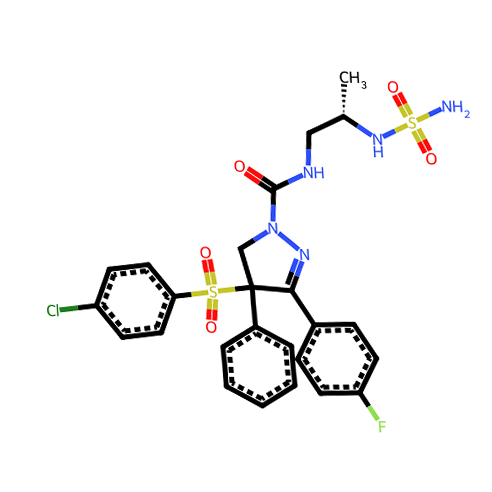 C[C@@H](CNC(=O)N1CC(c2ccccc2)(S(=O)(=O)c2ccc(Cl)cc2)C(c2ccc(F)cc2)=N1)NS(N)(=O)=O